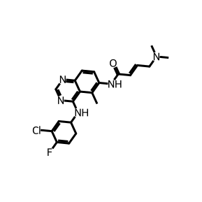 Cc1c(NC(=O)/C=C/CN(C)C)ccc2ncnc(NC3C=C(Cl)C(F)=CC3)c12